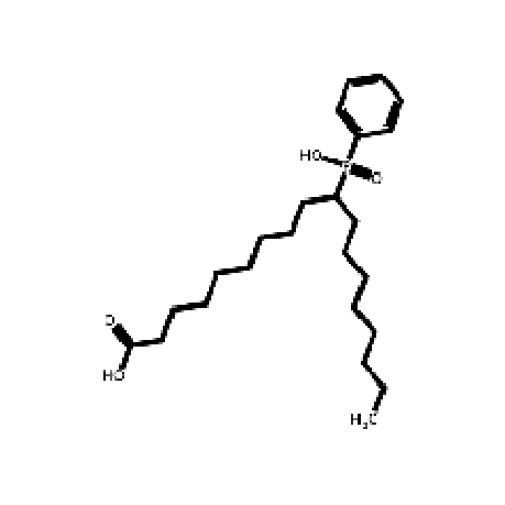 CCCCCCCCC(CCCCCCCCC(=O)O)P(=O)(O)c1ccccc1